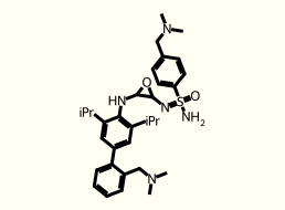 CC(C)c1cc(-c2ccccc2CN(C)C)cc(C(C)C)c1NC1OC1N=S(N)(=O)c1ccc(CN(C)C)cc1